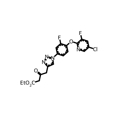 CCOC(=O)CC(=O)Cc1cn(-c2ccc(Oc3ncc(Cl)cc3F)c(F)c2)nn1